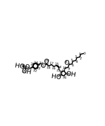 CCCCCCCC(=O)CC[C@@H]1[C@@H](C/C=C\CCCC(=O)OCc2ccc(CON(O)O)cc2)[C@@H](O)C[C@H]1O